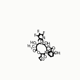 C[C@H]1NC(=O)C(C2CCO2)OC(=O)[C@H](C)[C@H](O)[C@H](Cc2c(F)nc(F)c(F)c2F)NC(=O)[C@H]1NC(=O)c1ccccc1O